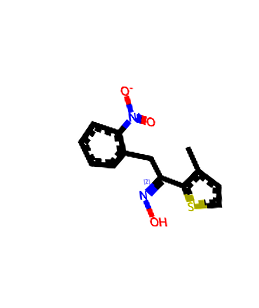 Cc1ccsc1/C(Cc1ccccc1[N+](=O)[O-])=N\O